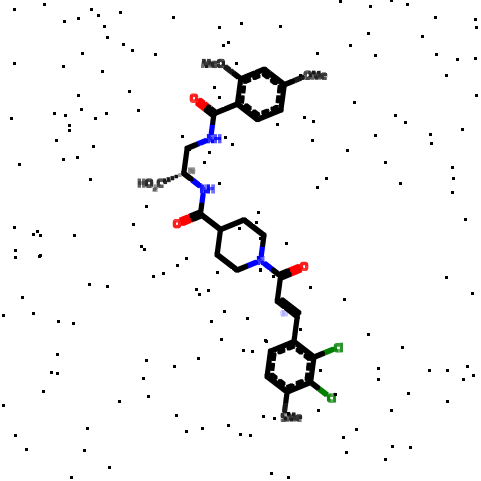 COc1ccc(C(=O)NC[C@H](NC(=O)C2CCN(C(=O)/C=C/c3ccc(SC)c(Cl)c3Cl)CC2)C(=O)O)c(OC)c1